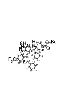 Cn1nc(-c2cc(C(F)(F)F)c(F)c(OCc3ccccc3)c2F)c2cnc(NC3(Cc4ccccc4)CCN(C(=O)OC(C)(C)C)CC3)nc21